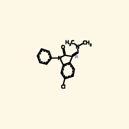 CN(C)/C=C1\C(=O)N(c2ccccc2)c2cc(Cl)ccc21